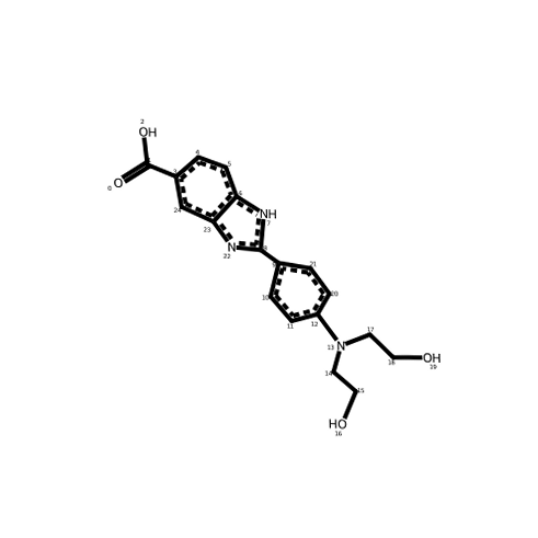 O=C(O)c1ccc2[nH]c(-c3ccc(N(CCO)CCO)cc3)nc2c1